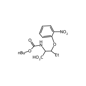 CCCCOC(=O)NC(C(=O)O)C(CC)Oc1ccccc1[N+](=O)[O-]